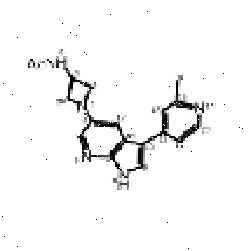 CC(=O)NC1CN(c2cnc3[nH]cc(-c4ccnc(C)c4)c3c2)C1